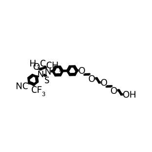 CC1(C)C(=O)N(c2ccc(C#N)c(C(F)(F)F)c2)C(=S)N1c1ccc(-c2ccc(OCCOCCOCCOCCO)cc2)cc1